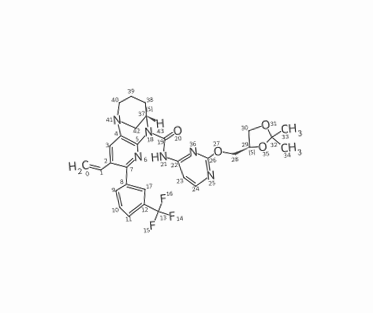 C=Cc1cc2c(nc1-c1cccc(C(F)(F)F)c1)N(C(=O)Nc1ccnc(OC[C@H]3COC(C)(C)O3)n1)[C@H]1CCCN2C1